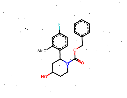 COc1cc(F)ccc1C1CC(O)CCN1C(=O)OCc1ccccc1